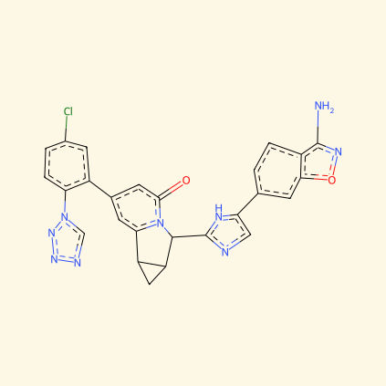 Nc1noc2cc(-c3cnc(C4C5CC5c5cc(-c6cc(Cl)ccc6-n6cnnn6)cc(=O)n54)[nH]3)ccc12